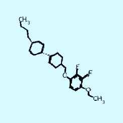 CCCC[C@H]1CC[C@H](C2CCC(COc3ccc(OCC)c(F)c3F)CC2)CC1